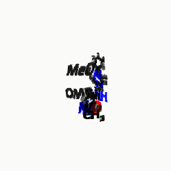 COc1ccccc1N1CCN(CCNc2c(OC)cnn(C)c2=O)CC1